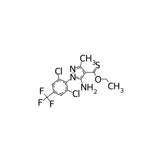 CCOC(=S)c1c(C)nn(-c2c(Cl)cc(C(F)(F)F)cc2Cl)c1N